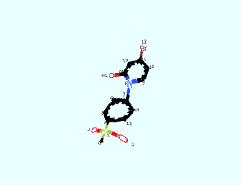 CS(=O)(=O)c1ccc(-n2ccc(Br)cc2=O)cc1